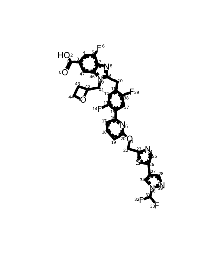 O=C(O)c1cc(F)c2nc(Cc3cc(F)c(-c4cccc(OCc5ncc(-c6cnn(C(F)F)c6)s5)n4)cc3F)n(CC3CCO3)c2c1